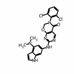 CN(C)c1cc(Nc2ncc3c(n2)OCN(c2c(Cl)cccc2Cl)C3=O)cc2[nH]ccc12